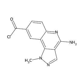 Cn1ncc2c(N)nc3ccc(C(=O)Cl)cc3c21